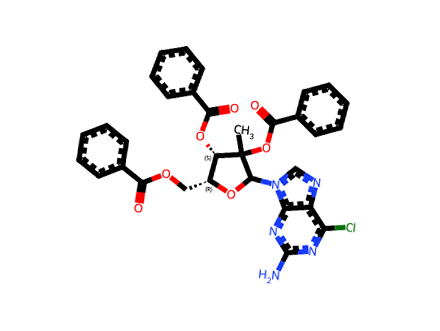 CC1(OC(=O)c2ccccc2)C(n2cnc3c(Cl)nc(N)nc32)O[C@H](COC(=O)c2ccccc2)[C@@H]1OC(=O)c1ccccc1